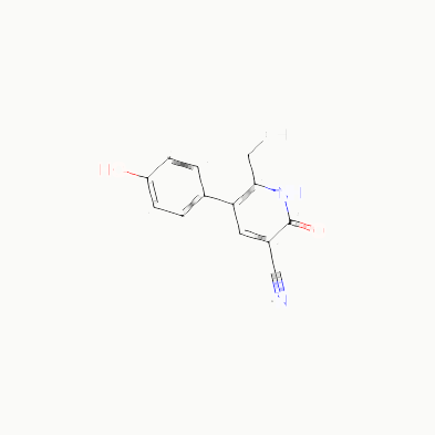 CCc1[nH]c(=O)c(C#N)cc1-c1ccc(O)cc1